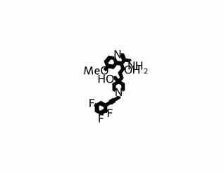 COc1ccc2ncc(CN)c([C@@H](O)CCC3(CO)CCN(CC#Cc4cc(F)cc(F)c4F)CC3)c2c1